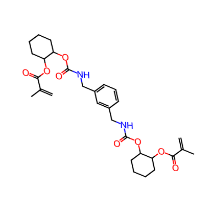 C=C(C)C(=O)OC1CCCCC1OC(=O)NCc1cccc(CNC(=O)OC2CCCCC2OC(=O)C(=C)C)c1